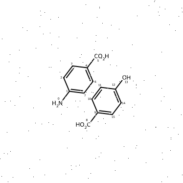 Nc1ccc(C(=O)O)cc1.O=C(O)c1ccc(O)cc1